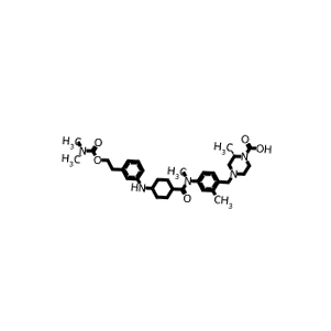 Cc1cc(N(C)C(=O)C2CCC(Nc3cccc(CCOC(=O)N(C)C)c3)CC2)ccc1CN1CCN(C(=O)O)[C@@H](C)C1